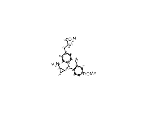 COc1ccc(Oc2ccc(CNC(=O)O)cc2)c(Cl)c1.NC1CC1